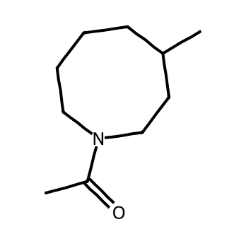 CC(=O)N1CCCCC(C)CC1